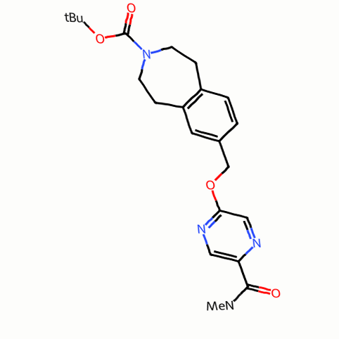 CNC(=O)c1cnc(OCc2ccc3c(c2)CCN(C(=O)OC(C)(C)C)CC3)cn1